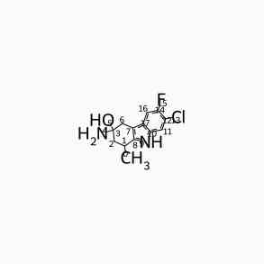 CC1CC(N)(O)Cc2c1[nH]c1cc(Cl)c(F)cc21